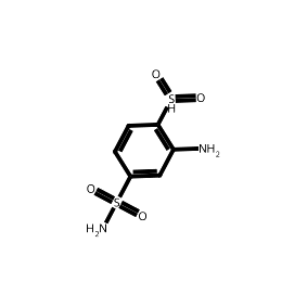 Nc1cc(S(N)(=O)=O)ccc1[SH](=O)=O